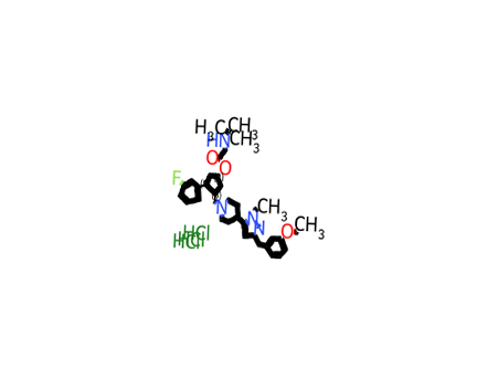 CCOc1cccc(Cc2cc(C3CCN(C[C@H]4C[C@H](OC(=O)CNC(C)(C)C)C[C@@H]4c4cccc(F)c4)CC3)n(CC)n2)c1.Cl.Cl.Cl